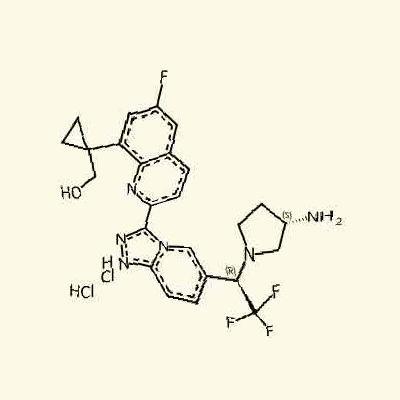 Cl.Cl.N[C@H]1CCN([C@H](c2ccc3nnc(-c4ccc5cc(F)cc(C6(CO)CC6)c5n4)n3c2)C(F)(F)F)C1